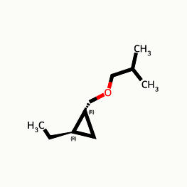 CC[C@@H]1C[C@H]1COCC(C)C